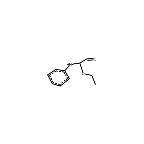 CCOC(C=O)Nc1ccccc1